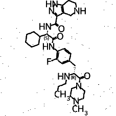 CCCN[C@H](Cc1ccc(NC(=O)[C@@H](NC(=O)c2n[nH]c3c2CNCC3)C2CCCCC2)c(F)c1)C(=O)N1CCN(C)CC1